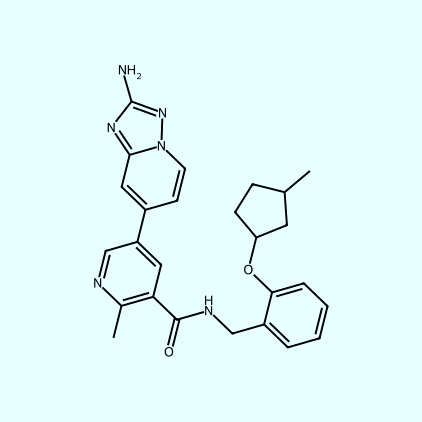 Cc1ncc(-c2ccn3nc(N)nc3c2)cc1C(=O)NCc1ccccc1OC1CCC(C)C1